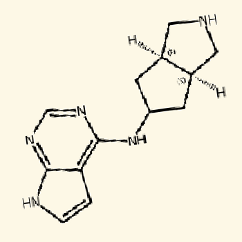 c1nc(NC2C[C@H]3CNC[C@H]3C2)c2cc[nH]c2n1